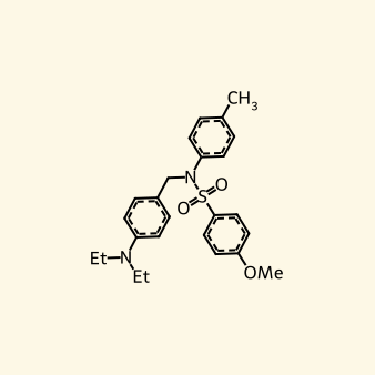 CCN(CC)c1ccc(CN(c2ccc(C)cc2)S(=O)(=O)c2ccc(OC)cc2)cc1